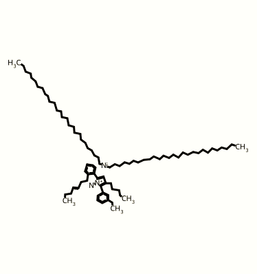 CCCC=CCCc1ccccc1C1=CC(CCCCC)=C(c2cccc(CC)c2)[N+]1=[N-].CCCCCCCCCCCCCCCCCCCCCCCCCC[CH2][Ni][CH2]CCCCCCCCCCCCCCCCCCCCCCCCCC